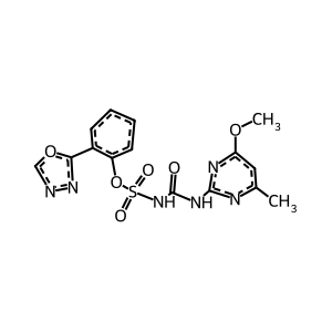 COc1cc(C)nc(NC(=O)NS(=O)(=O)Oc2ccccc2-c2nnco2)n1